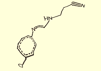 N#CCCNC=Nc1ccc(Cl)cc1